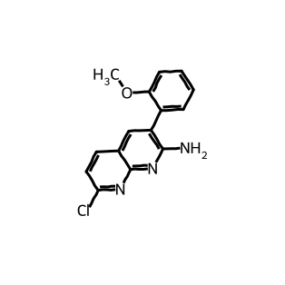 COc1ccccc1-c1cc2ccc(Cl)nc2nc1N